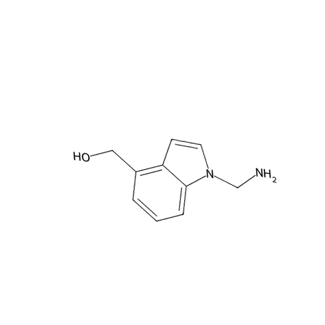 NCn1ccc2c(CO)cccc21